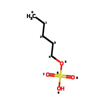 CC[CH]CCOS(=O)(=O)O